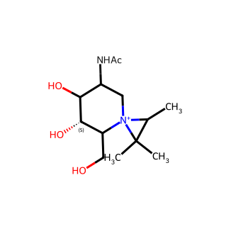 CC(=O)NC1C[N+]2(C(CO)[C@H](O)C1O)C(C)C2(C)C